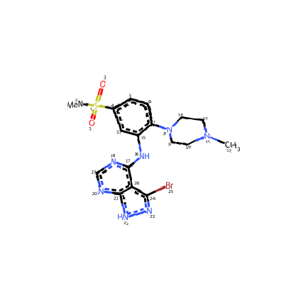 CNS(=O)(=O)c1ccc(N2CCN(C)CC2)c(Nc2ncnc3[nH]nc(Br)c23)c1